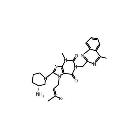 CC(Br)=CCn1c(N2CCC[C@@H](N)C2)nc2c1c(=O)n(Cc1nc(C)c3ccccc3n1)c(=O)n2C